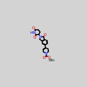 CC(C)(C)OC(=O)N1CC=C(c2ccc3c(c2)CN(C2CCC(=O)NC2=O)C3=O)CC1